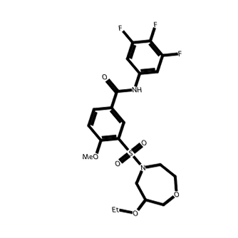 CCOC1COCCN(S(=O)(=O)c2cc(C(=O)Nc3cc(F)c(F)c(F)c3)ccc2OC)C1